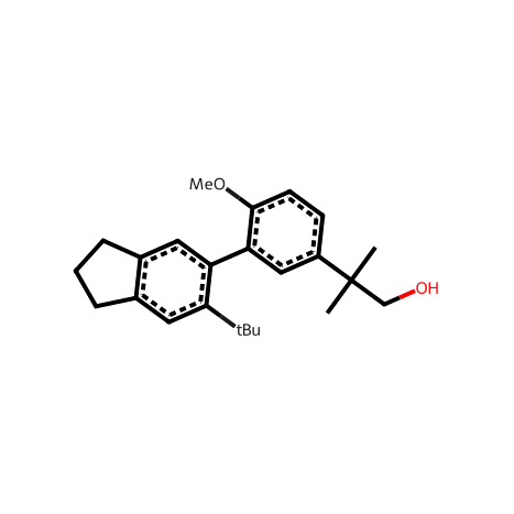 COc1ccc(C(C)(C)CO)cc1-c1cc2c(cc1C(C)(C)C)CCC2